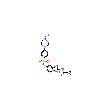 CN1CCN(c2ccc(S(=O)(=O)Oc3ccc4[nH]c(NC(=O)C5CC5)nc4c3)cc2)CC1